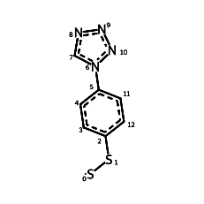 [S]Sc1ccc(-n2cnnn2)cc1